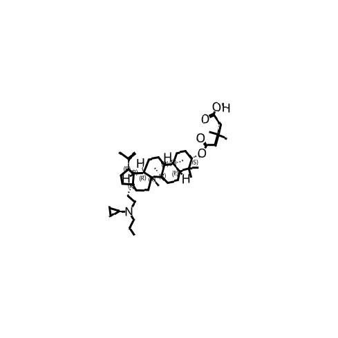 C=C(C)[C@@H]1CC[C@]2(CCN(CCC)C3CC3)CC[C@]3(C)[C@H](CC[C@@H]4[C@@]5(C)CC[C@H](OC(=O)CC(C)(C)CC(=O)O)C(C)(C)[C@@H]5CC[C@]43C)[C@@H]12